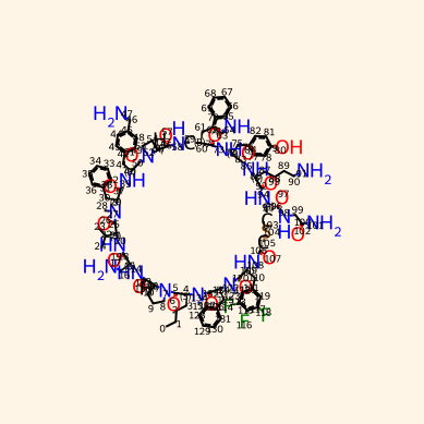 CCCC[C@H]1C(=O)N2CCC[C@@H]2C(=O)N[C@@H](CN)C(=O)N[C@@H](C(C)C)C(=O)N(C)[C@@H](Cc2ccccc2)C(=O)N[C@@H](Cc2ccc(CN)cc2)C(=O)N2CC[C@@H]2C(=O)NC[C@@H](Cc2c[nH]c3ccccc23)C(=O)N[C@@H](Cc2ccc(O)cc2)C(=O)N[C@@H](CCCCN)C(=O)N[C@H](C(=O)NCC(N)=O)CSCC(=O)N[C@@H](Cc2cc(F)c(F)c(F)c2)C(=O)N(C)[C@@H](Cc2ccccc2)C(=O)N1C